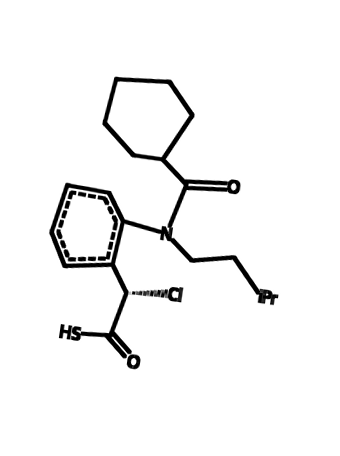 CC(C)CCN(C(=O)C1CCCCC1)c1ccccc1[C@H](Cl)C(=O)S